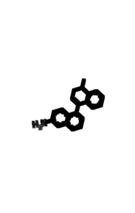 CC1CC=C(c2cccc3cc(N)ccc23)c2ccccc21